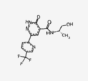 C[C@@H](CO)NC(=O)c1cc(-c2ccc(C(F)(F)F)cn2)n[nH]c1=O